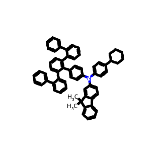 CC1(C)c2ccccc2-c2ccc(N(c3ccc(-c4c(-c5ccccc5-c5ccccc5)cccc4-c4ccccc4-c4ccccc4)cc3)c3ccc(C4CCCCC4)cc3)cc21